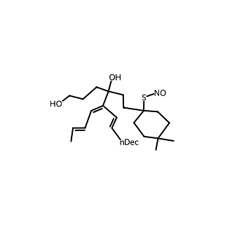 CC=CC=C(C=CCCCCCCCCCC)C(O)(CCCO)CCC1(SN=O)CCC(C)(C)CC1